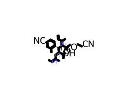 C=C/C(C)=C(/C(=O)COCCC#N)[C@H](/C(=C/C(C)=C\C)C(=C)O)c1ccc(C#N)cc1C